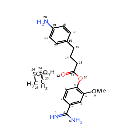 COc1cc(C(=N)N)ccc1OC(=O)CCCc1ccc(N)cc1.CS(=O)(=O)O.CS(=O)(=O)O